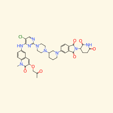 CC(=O)COc1cc2cc(Nc3nc(N4CCN(C5CCCN(c6ccc7c(c6)C(=O)N(C6CCC(=O)NC6=O)C7=O)C5)CC4)ncc3Cl)ccc2n(C)c1=O